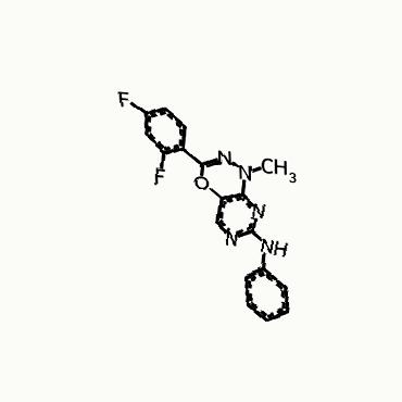 CN1N=C(c2ccc(F)cc2F)Oc2cnc(Nc3ccccc3)nc21